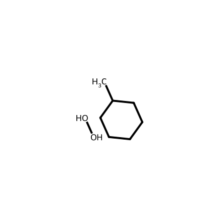 CC1CCCCC1.OO